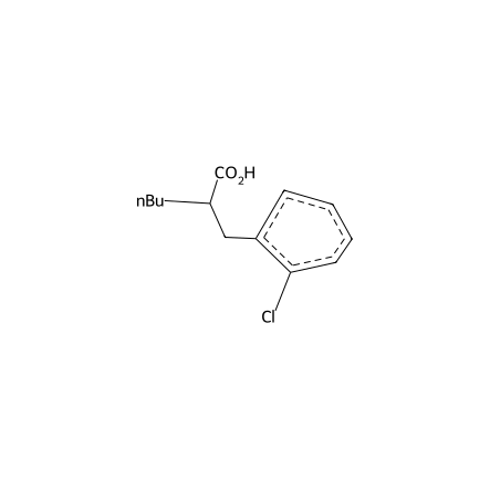 CCCCC(Cc1ccccc1Cl)C(=O)O